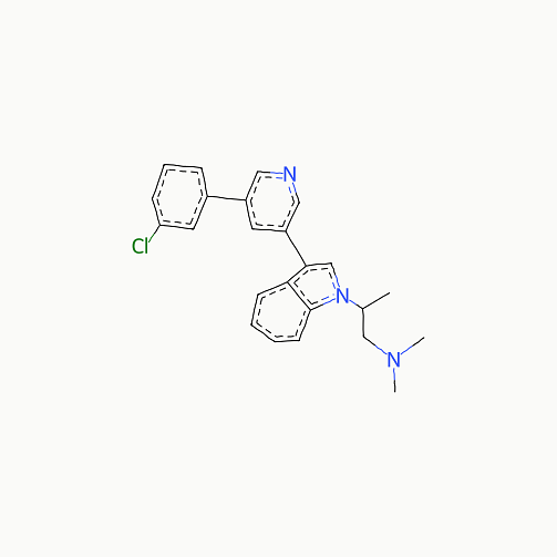 CC(CN(C)C)n1cc(-c2cncc(-c3cccc(Cl)c3)c2)c2ccccc21